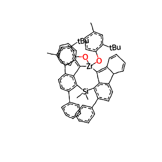 Cc1ccc([O][Zr]2([O]c3ccc(C)cc3C(C)(C)C)[C]3=C4C=CC=CC4c4ccc(-c5ccccc5)c(c43)[Si](C)(C)c3c(-c4ccccc4)ccc4c3[C]2=C2C=CC=CC24)c(C(C)(C)C)c1